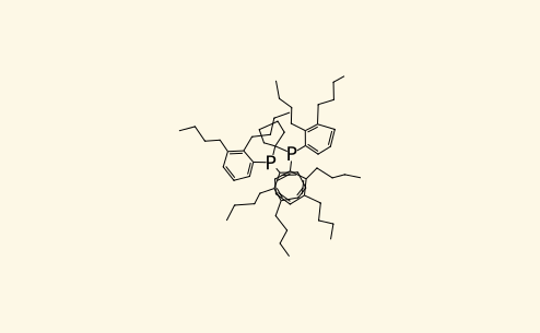 CCCCc1cccc(P(c2cccc(CCCC)c2CCCC)C2(P(c3cccc(CCCC)c3CCCC)c3cccc(CCCC)c3CCCC)CCCC2)c1CCCC